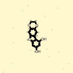 Oc1cc(O)c2c(c1)oc1cc3c(cc12)OCCO3